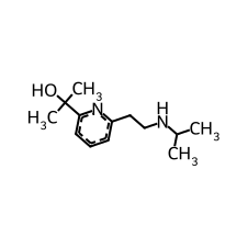 CC(C)NCCc1cccc(C(C)(C)O)n1